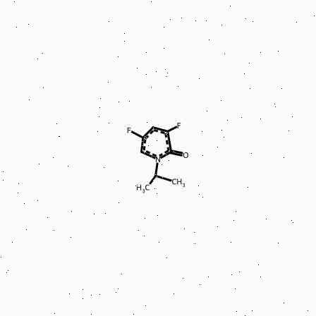 CC(C)n1cc(F)cc(F)c1=O